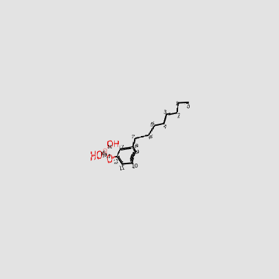 CCCCCCCCc1cccc(OB(O)O)c1